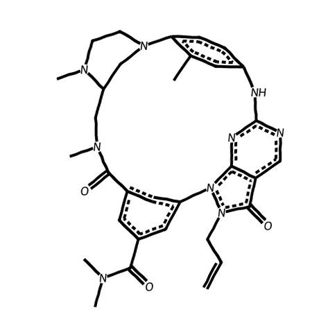 C=CCn1c(=O)c2cnc3nc2n1-c1cc(C(=O)N(C)C)cc(c1)C(=O)N(C)CC1CN(CCN1C)c1ccc(cc1C)N3